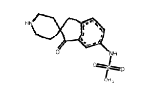 CS(=O)(=O)Nc1ccc2c(c1)C(=O)C1(CCNCC1)C2